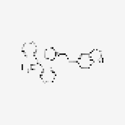 CC(c1ccccc1)(c1ccccc1)[C@@H]1CCN(CCc2ccc3c(c2)CCO3)C1